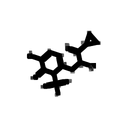 CS(=O)(=O)C1C(=O)C(Cl)=CC=C1CC(C#N)C(=O)C1CC1